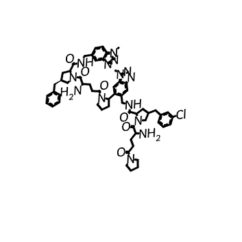 Cn1nnc2cc(CNC(=O)C3C[C@H](Cc4ccccc4)CN3C(=O)C(N)CCC(=O)N3CCCC3c3cc4c(cc3CNC(=O)C3CC(Cc5cccc(Cl)c5)CN3C(=O)C(N)CCC(=O)N3CCCC3)nnn4C)ccc21